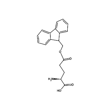 N[C@@H](CCC(=O)OCC1c2ccccc2-c2ccccc21)C(=O)O